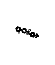 C[Si](C)(C)c1ccc(NC(=O)N2CCN(c3ccccc3F)CC2)cc1